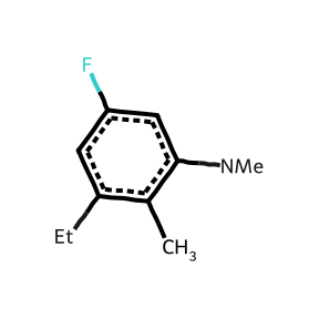 CCc1cc(F)cc(NC)c1C